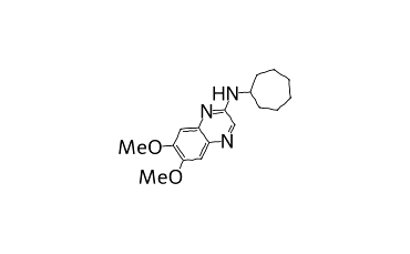 COc1cc2ncc(NC3CCCCCC3)nc2cc1OC